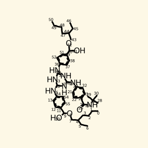 CCCCC(CC)COC(O)c1ccc(NC2NC(Nc3ccc(C(=O)NC(C)(C)C)cc3)NC(Nc3ccc(C(O)OCC(CC)CCCC)cc3)N2)cc1